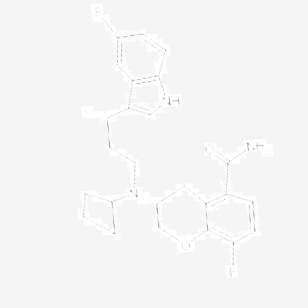 C[C@@H](CCN(C1CCC1)[C@H]1COc2c(F)ccc(C(N)=O)c2C1)c1c[nH]c2ccc(F)cc12